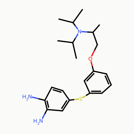 CC(C)N(C(C)C)C(C)COc1cccc(Sc2ccc(N)c(N)c2)c1